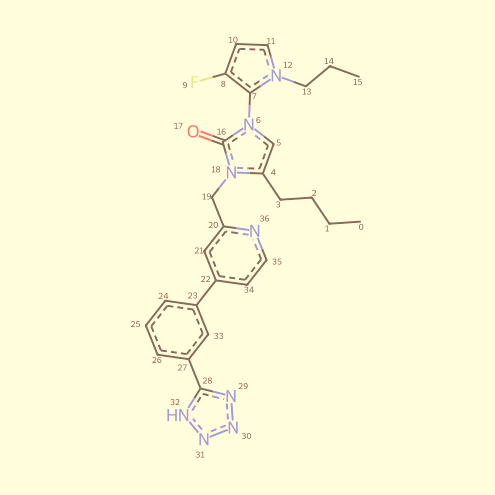 CCCCc1cn(-c2c(F)ccn2CCC)c(=O)n1Cc1cc(-c2cccc(-c3nnn[nH]3)c2)ccn1